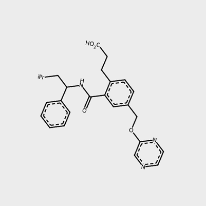 CC(C)CC(NC(=O)c1cc(COc2cnccn2)ccc1CCC(=O)O)c1ccccc1